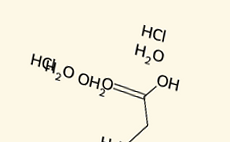 Cl.Cl.NCC(=O)O.O.O.O